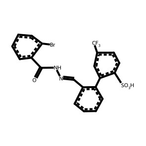 O=C(NN=Cc1ccccc1-c1cc(C(F)(F)F)ccc1S(=O)(=O)O)c1ccccc1Br